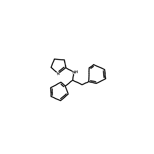 c1ccc(CC(NC2=NCCC2)c2ccccc2)cc1